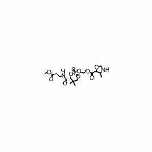 COC(=O)CCNC(=O)[C@@H]1OP(=O)(OCOC(=O)C2OCNC2C)OCC1(C)C